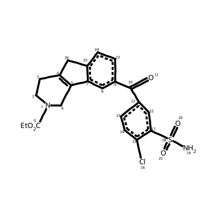 CCOC(=O)N1CCC2=C(C1)c1cc(C(=O)c3ccc(Cl)c(S(N)(=O)=O)c3)ccc1C2